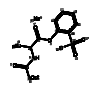 CCCCCCCCC(=O)NC(CCCC)C(=O)Oc1ccccc1S(=O)(=O)[O-].[Na+]